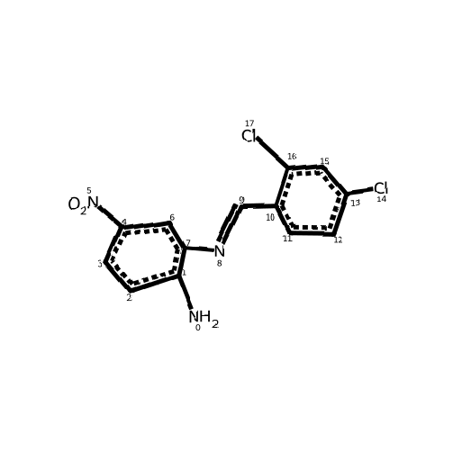 Nc1ccc([N+](=O)[O-])cc1/N=C/c1ccc(Cl)cc1Cl